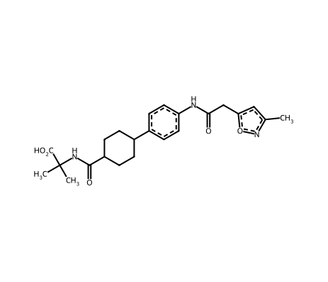 Cc1cc(CC(=O)Nc2ccc(C3CCC(C(=O)NC(C)(C)C(=O)O)CC3)cc2)on1